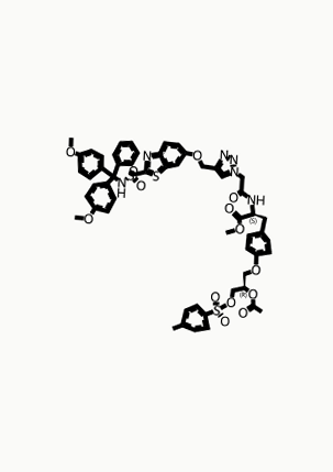 COC(=O)[C@H](Cc1ccc(OC[C@H](COS(=O)(=O)c2ccc(C)cc2)OC(C)=O)cc1)NC(=O)Cn1cc(COc2ccc3nc(S(=O)(=O)NC(c4ccccc4)(c4ccc(OC)cc4)c4ccc(OC)cc4)sc3c2)nn1